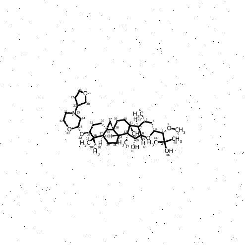 CO[C@@H]([C@H]1C[C@@H](C)[C@H]2[C@H](O1)[C@H](O)[C@@]1(C)[C@@H]3CC[C@H]4C(C)(C)[C@@H](O[C@H]5CN(C6CCOC6)CCO5)CC[C@@]45C[C@@]35CC[C@]21C)C(C)(C)O